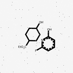 CCOC(=O)C1CCC(O)CC1.Oc1cccc(F)n1